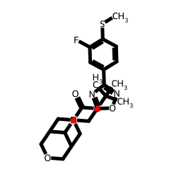 CSc1ccc(-c2noc(COC3C4COCC3CN(C(=O)OC(C)(C)C)C4)n2)cc1F